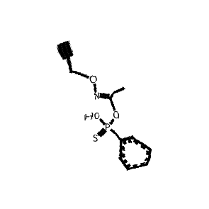 C#CCON=C(C)OP(O)(=S)c1ccccc1